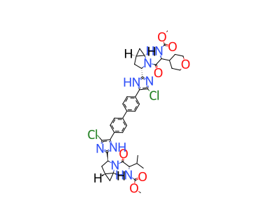 COC(=O)N[C@H](C(=O)N1[C@@H]2C[C@@H]2C[C@H]1c1nc(Cl)c(-c2ccc(-c3ccc(-c4[nH]c([C@@H]5C[C@H]6C[C@H]6N5C(=O)[C@@H](NC(=O)OC)C5CCOCC5)nc4Cl)cc3)cc2)[nH]1)C(C)C